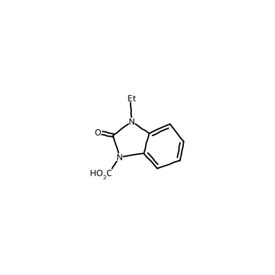 CCn1c(=O)n(C(=O)O)c2ccccc21